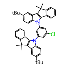 CC(C)(C)c1ccc2c(c1)c1c(n2-c2cc(Cl)cc(-n3c4c(c5cc(C(C)(C)C)ccc53)C(C)(C)c3ccccc3-4)c2)-c2ccccc2C1(C)C